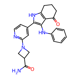 NC(=O)C1CN(c2cc(-c3[nH]c4c(c3Nc3ccccc3)C(=O)CCC4)ccn2)C1